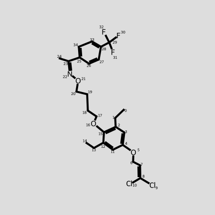 CCc1cc(OCC=C(Cl)Cl)cc(CC)c1OCCCCON=C(C)c1ccc(C(F)(F)F)cc1